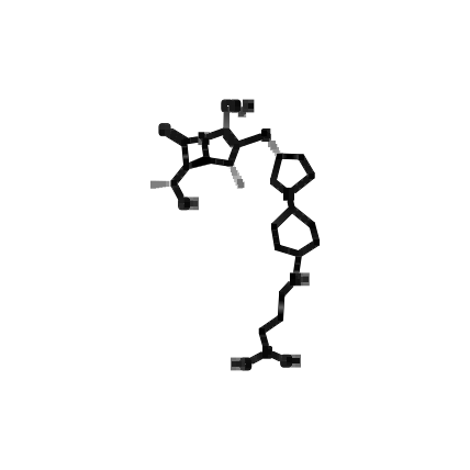 C[C@H]1C(S[C@@H]2CCN(C3CCC(NCCCB(O)O)CC3)C2)=C(C(=O)O)N2C(=O)[C@H]([C@@H](C)O)C12